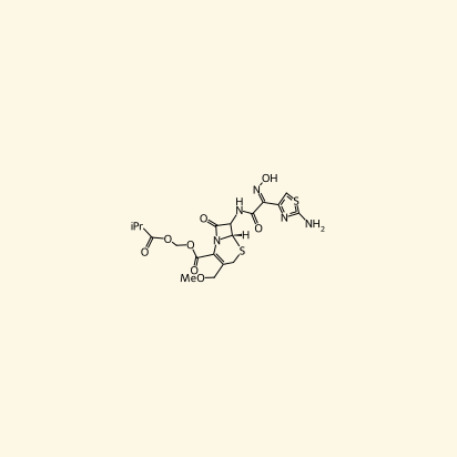 COCC1=C(C(=O)OCOC(=O)C(C)C)N2C(=O)C(NC(=O)C(=NO)c3csc(N)n3)[C@@H]2SC1